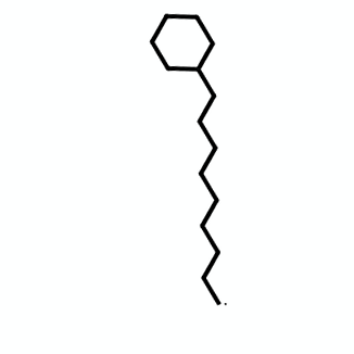 [CH2]CCCCCCCCC1CCCCC1